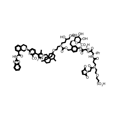 Cc1c(-c2ccc(N3CCc4cccc(C(=O)Nc5nc6ccccc6s5)c4C3)nc2C(=O)O)cnn1CC12CC3(C)CCC1C(C)CC(OCCN(CCC(O)CO)C(=O)OCc1ccc(NC(=O)[C@H](C)NC(=O)[C@@H](NC(=O)CCN(CCOCCS(=O)(=O)O)C(=O)CN4C(=O)C=CC4=O)C(C)C)cc1CC[C@@H]1O[C@H](C(=O)O)[C@@H](O)[C@H](O)[C@H]1O)(C3)C2